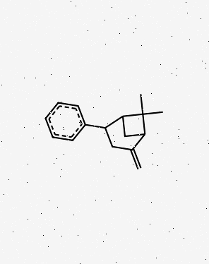 C=C1CC(c2ccccc2)C2CC1C2(C)C